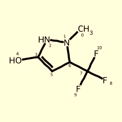 CN1NC(O)=CC1C(F)(F)F